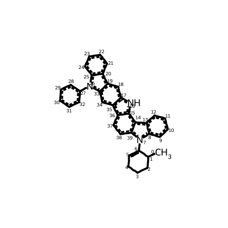 CC1CCCC=C1n1c2ccccc2c2c3[nH]c4cc5c6ccccc6n(-c6ccccc6)c5cc4c3ccc21